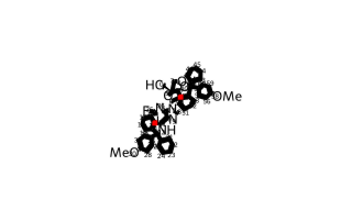 C#C[C@]1(CO)O[C@@H](n2cnc3c(NC(c4ccccc4)(c4ccccc4)c4ccc(OC)cc4)nc(F)nc32)C[C@@H]1OC(c1ccccc1)(c1ccccc1)c1ccc(OC)cc1